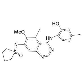 COc1c(N=S2(=O)CCCC2)cc2ncnc(Nc3ccc(C)cc3O)c2c1C